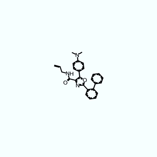 C=CCNC(=O)c1nc(-c2ccccc2-c2ccccc2)oc1-c1ccc(N(C)C)cc1